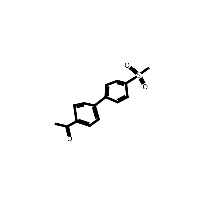 CC(=O)c1ccc(-c2c[c]c(S(C)(=O)=O)cc2)cc1